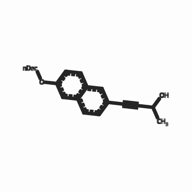 CCCCCCCCCCOc1ccc2cc(C#CC(C)O)ccc2c1